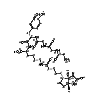 C#C/C=C(\C=C/CO)C[C@H](NC(=O)CNC(=O)CNC(=O)CN)C(=O)N[C@@H](CCCCNC(=O)CCCC[C@H]1SC[C@H]2NC(=O)N[C@H]21)C(=O)O